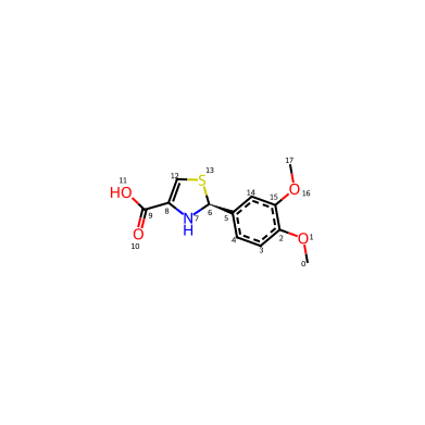 COc1ccc([C@H]2NC(C(=O)O)=CS2)cc1OC